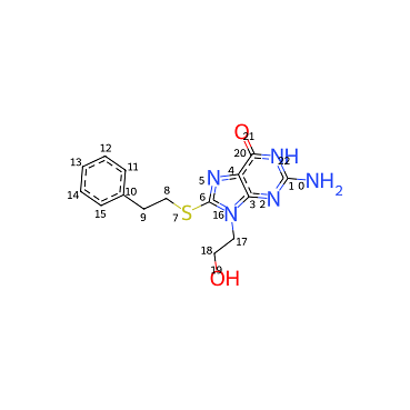 Nc1nc2c(nc(SCCc3ccccc3)n2CCO)c(=O)[nH]1